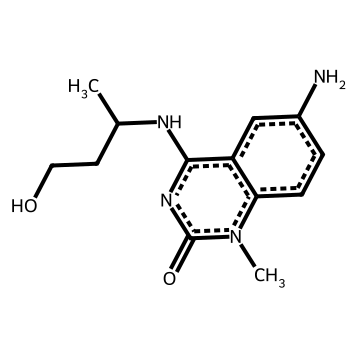 CC(CCO)Nc1nc(=O)n(C)c2ccc(N)cc12